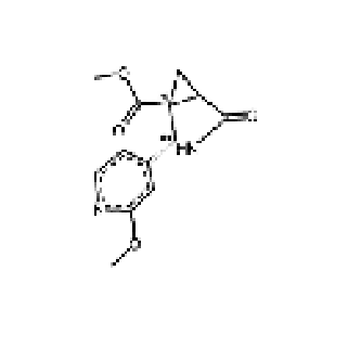 COC(=O)[C@@]12CC1C(=O)N[C@@H]2c1ccnc(OC)c1